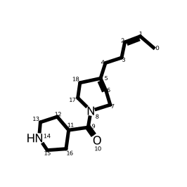 C/C=C\CCC1=CCN(C(=O)C2CCNCC2)CC1